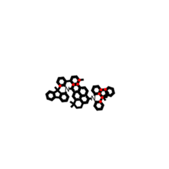 CCc1cc(N(c2ccccc2-c2ccccc2)c2cccc3c2C(C)(C)c2ccccc2-3)c2cc3c4c(cc(N(c5ccccc5-c5ccccc5)c5cccc6c5C(C)(C)c5ccccc5-6)c5ccc1c2c54)CCC3(C)C